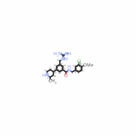 COc1ccc(CNC(=O)c2cc(CNC(=N)N)cc(C3CCNC(C)C3)c2)cc1Cl